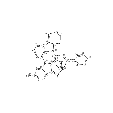 Clc1ccc2c3ccccc3n(-c3cccc4c5ccccc5n(-c5cccc(-c6ccccc6)c5)c34)c2c1